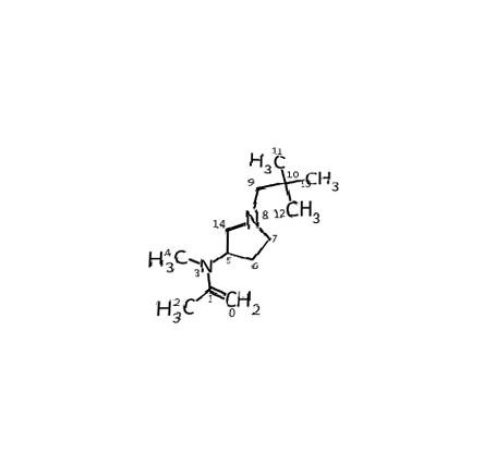 C=C(C)N(C)C1CCN(CC(C)(C)C)C1